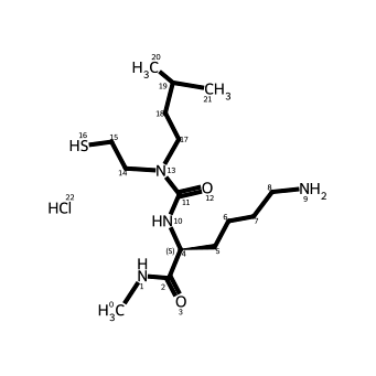 CNC(=O)[C@H](CCCCN)NC(=O)N(CCS)CCC(C)C.Cl